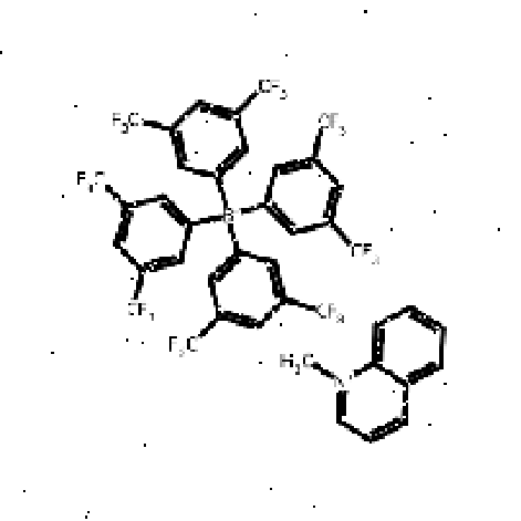 C[n+]1cccc2ccccc21.FC(F)(F)c1cc([B-](c2cc(C(F)(F)F)cc(C(F)(F)F)c2)(c2cc(C(F)(F)F)cc(C(F)(F)F)c2)c2cc(C(F)(F)F)cc(C(F)(F)F)c2)cc(C(F)(F)F)c1